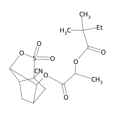 CCC(C)(C)C(=O)OC(C)C(=O)OC1C2CC3C1OS(=O)(=O)C3(C#N)C2